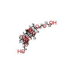 CC(COCC(C)C(C)(OCCOCCO)[SiH](O[Si](C)(C)C)O[Si](C)(C)C)C(C)(OCCOCCO)[SiH](O[Si](C)(C)C)O[Si](C)(C)C